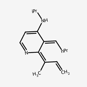 C=C/C(C)=c1/nccc(NC(C)C)/c1=C/CCC